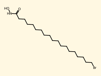 O=C(CCCCCCCCCCCCCCCCCCBr)NO